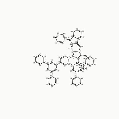 C/C=c1\c(=C/CS)n(-c2ccc(-c3nc(-c4ccccc4)nc(-c4ccccc4)n3)cc2-c2nc(-c3ccccc3)nc(-c3ccccc3)n2)c2cc3c(cc12)c1ccccc1n3-c1ccccc1